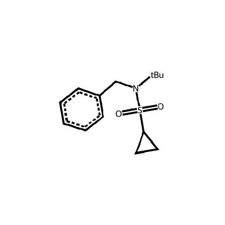 CC(C)(C)N(Cc1ccccc1)S(=O)(=O)C1CC1